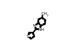 Cc1ccc2[nH]c(-c3ccsc3)nc2c1